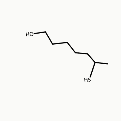 CC(S)CCCCCO